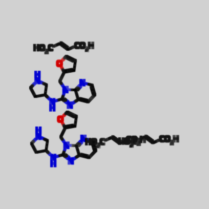 O=C(O)C=CC(=O)O.O=C(O)C=CC(=O)O.O=C(O)C=CC(=O)O.c1coc(Cn2c(NC3CCNC3)nc3cccnc32)c1.c1coc(Cn2c(NC3CCNC3)nc3cccnc32)c1